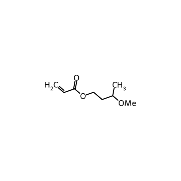 C=CC(=O)OCCC(C)OC